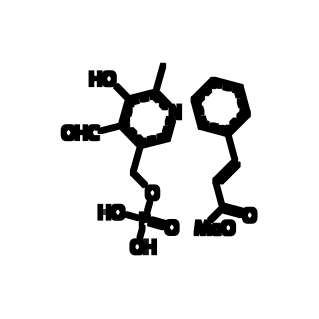 COC(=O)/C=C/c1ccccc1.Cc1ncc(COP(=O)(O)O)c(C=O)c1O